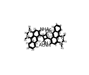 CC(=O)Nc1cc2c3c(c4ccccc4cc3c1C1C(O)C(c3c(NC(C)=O)cc4c5c(c6ccccc6cc35)N(C)CN4C)C1O)N(C)CN2C